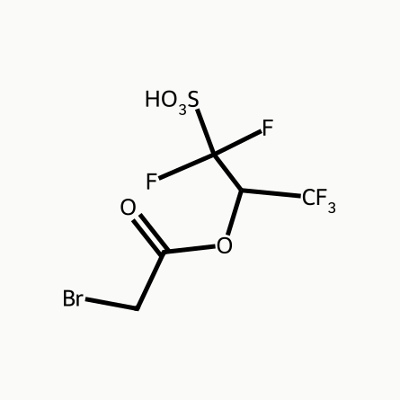 O=C(CBr)OC(C(F)(F)F)C(F)(F)S(=O)(=O)O